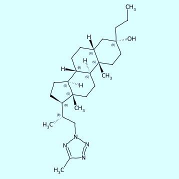 CCC[C@@]1(O)CC[C@@]2(C)[C@H](CC[C@@H]3[C@@H]2CC[C@]2(C)[C@@H]([C@@H](C)Cn4nnc(C)n4)CC[C@@H]32)C1